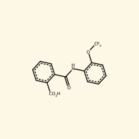 O=C(O)c1ccccc1C(=O)Nc1ccccc1OC(F)(F)F